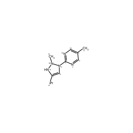 Cc1cnc(N2C=C(C(C)C)NN2C)nc1